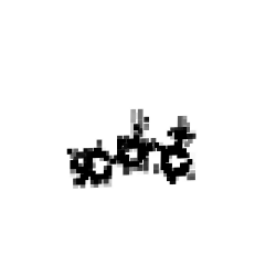 CC1(CN)CCN(c2cnc(Sc3cccnc3C(F)(F)F)c(N)n2)CC1